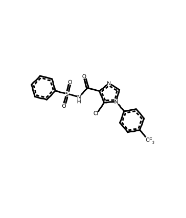 O=C(NS(=O)(=O)c1ccccc1)c1ncn(-c2ccc(C(F)(F)F)cc2)c1Cl